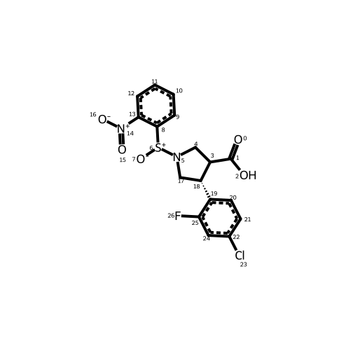 O=C(O)C1CN([S+]([O-])c2ccccc2[N+](=O)[O-])C[C@H]1c1ccc(Cl)cc1F